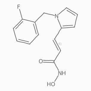 O=C(/C=C/c1cccn1Cc1ccccc1F)NO